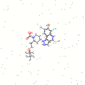 CSc1nc2c(F)c(Br)c(I)cc2c2c1cnn2[C@H]1CCN(C(=O)O)[C@H](CCO[Si](C)(C)C(C)(C)C)C1